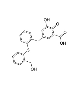 O=C(O)c1cn(Cc2ccccc2Sc2ccccc2CO)cc(O)c1=O